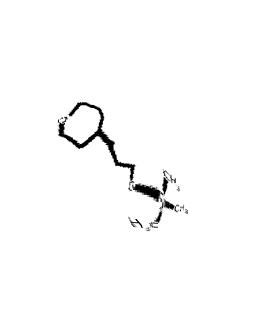 C[Si](C)(C)O[CH]CCC1CCOCC1